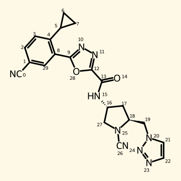 N#Cc1ccc(C2CC2)c(-c2nnc(C(=O)N[C@@H]3C[C@@H](Cn4ccnn4)N(C#N)C3)o2)c1